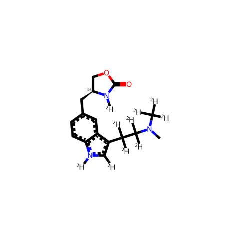 [2H]c1c(C([2H])([2H])C([2H])([2H])N(C)C([2H])([2H])[2H])c2cc(C[C@H]3COC(=O)N3[2H])ccc2n1[2H]